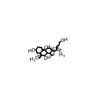 C/C=C1/[C@H](O)C2C(CC[C@@]3(C)C2CC[C@@H]3[C@H](C)CCCO)C2(C)CC[C@@H](O)C[C@@H]12